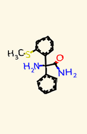 CSc1ccccc1C(N)(C(N)=O)c1ccccc1